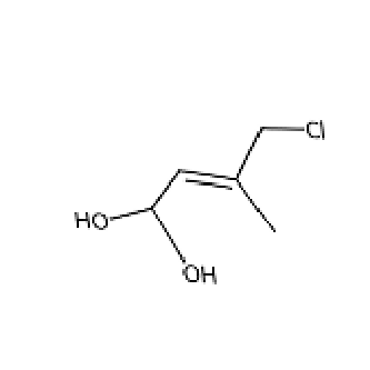 C/C(=C\C(O)O)CCl